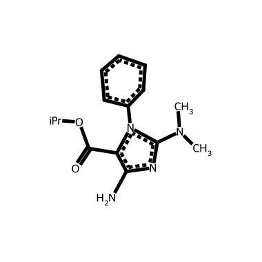 CC(C)OC(=O)c1c(N)nc(N(C)C)n1-c1ccccc1